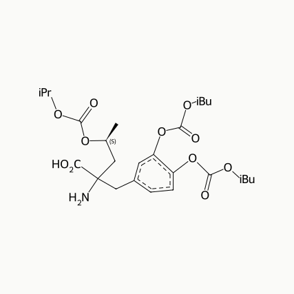 CCC(C)OC(=O)Oc1ccc(CC(N)(C[C@H](C)OC(=O)OC(C)C)C(=O)O)cc1OC(=O)OC(C)CC